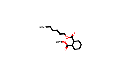 CCCCCCCCCCCCCCCOC(=O)C1CCCCC1C(=O)OCCC